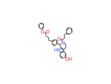 O=C(CCCc1ccc(C2c3[nH]c4ccc(O)cc4c3CCN2C(=O)CCc2ccccc2)cc1)Oc1ccccc1